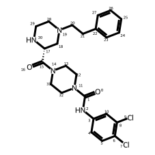 O=C(Nc1ccc(Cl)c(Cl)c1)N1CCN(C(=O)[C@H]2CN(CCc3ccccc3)CCN2)CC1